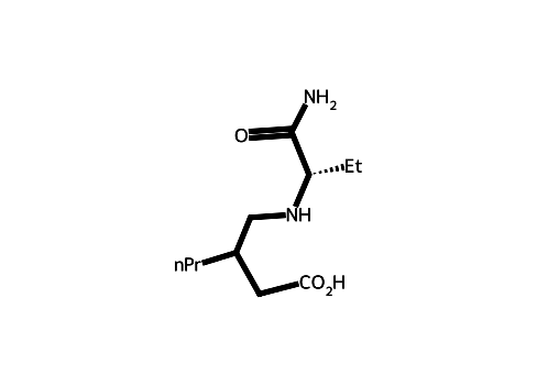 CCCC(CN[C@@H](CC)C(N)=O)CC(=O)O